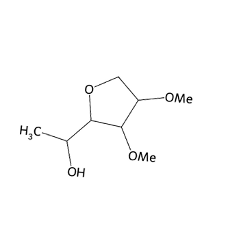 COC1COC(C(C)O)C1OC